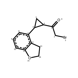 O=C(CBr)C1CC1c1cccc2c1CCO2